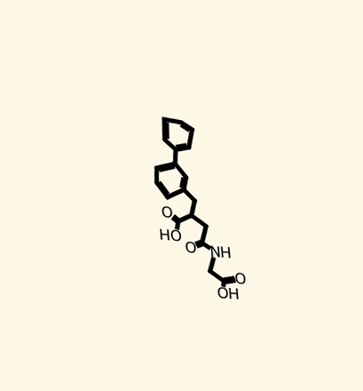 O=C(O)CNC(=O)CC(Cc1cccc(-c2ccccc2)c1)C(=O)O